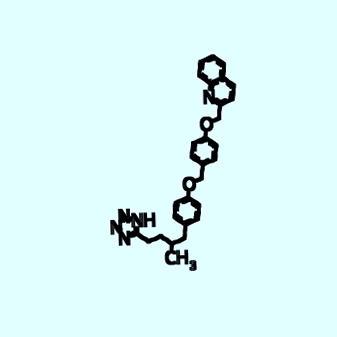 CC(CCc1nnn[nH]1)Cc1ccc(OCc2ccc(OCc3ccc4ccccc4n3)cc2)cc1